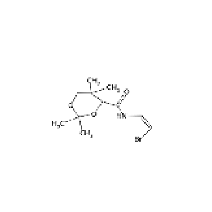 CC1(C)OCC(C)(C)C(C(=O)N/C=C\Br)O1